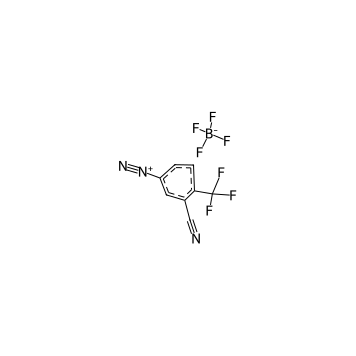 F[B-](F)(F)F.N#Cc1cc([N+]#N)ccc1C(F)(F)F